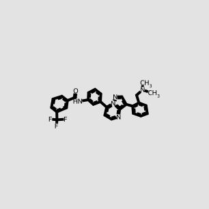 CN(C)Cc1ccccc1-c1cnn2c(-c3cccc(NC(=O)c4cccc(C(F)(F)F)c4)c3)ccnc12